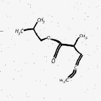 C=C=CC(C)C(=O)OCC(C)C